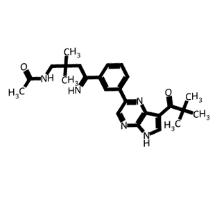 CC(=O)NCC(C)(C)CC(=N)c1cccc(-c2cnc3[nH]cc(C(=O)C(C)(C)C)c3n2)c1